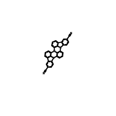 N#Cc1ccc2c(c1)-c1cccc3c1B2c1cccc2c1N3c1cccc3c1B2c1ccc(C#N)cc1-3